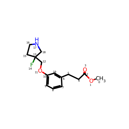 COC(=O)CCc1cccc(OCC2(F)CCNC2)c1